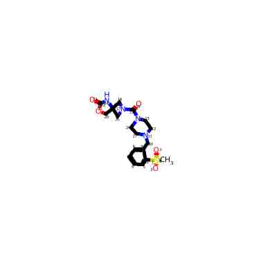 CS(=O)(=O)c1ccccc1CN1CCN(C(=O)N2CC3(COC(=O)N3)C2)CC1